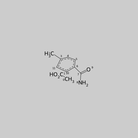 CC(=O)O.Cc1ccc(C(N)=O)cc1